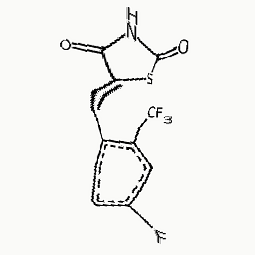 O=C1NC(=O)C(=Cc2ccc(F)cc2C(F)(F)F)S1